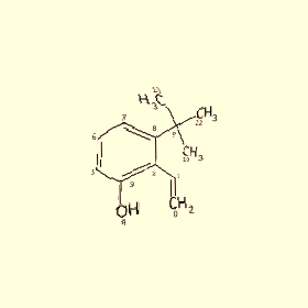 C=Cc1c(O)cccc1C(C)(C)C